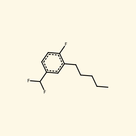 CCCCCc1cc(C(F)F)ccc1F